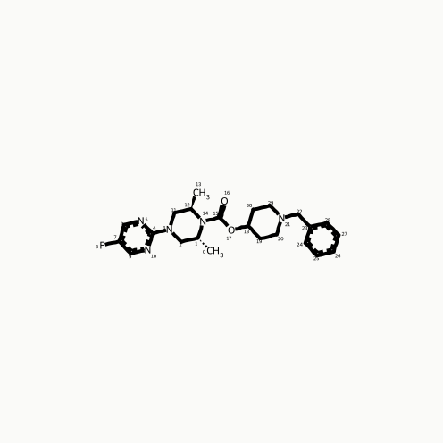 C[C@@H]1CN(c2ncc(F)cn2)C[C@@H](C)N1C(=O)OC1CCN(Cc2ccccc2)CC1